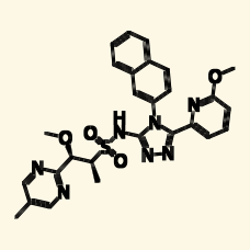 COc1cccc(-c2nnc(NS(=O)(=O)[C@@H](C)[C@H](OC)c3ncc(C)cn3)n2-c2ccc3ccccc3c2)n1